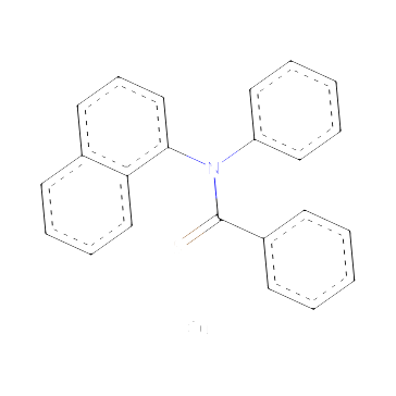 S=C(c1ccccc1)N(c1ccccc1)c1cccc2ccccc12.[Cu]